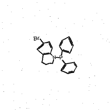 Brc1ccc2c(c1)CCCN2P(c1ccccc1)c1ccccc1